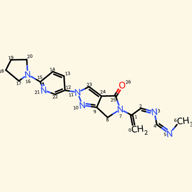 C=C(/C=N\C=N/C)N1Cc2nn(-c3ccc(N4CCCC4)nc3)cc2C1=O